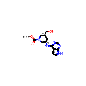 CC(C)(C)OC(=O)N1C[C@@H](CO)C[C@@H](Nc2ncnc3[nH]ccc23)C1